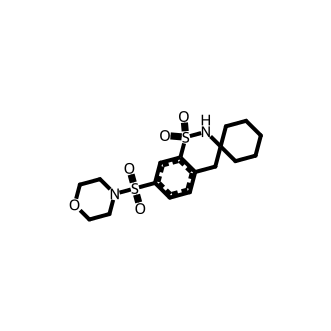 O=S1(=O)NC2(CCCCC2)Cc2ccc(S(=O)(=O)N3CCOCC3)cc21